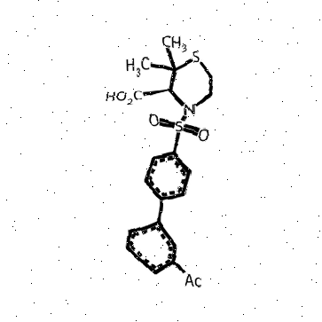 CC(=O)c1cccc(-c2ccc(S(=O)(=O)N3CCSC(C)(C)[C@@H]3C(=O)O)cc2)c1